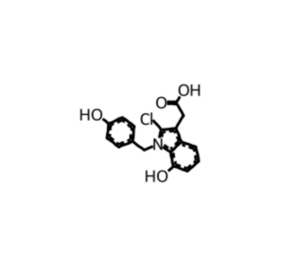 O=C(O)Cc1c(Cl)n(Cc2ccc(O)cc2)c2c(O)cccc12